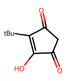 CC(C)(C)C1=C(O)C(=O)CC1=O